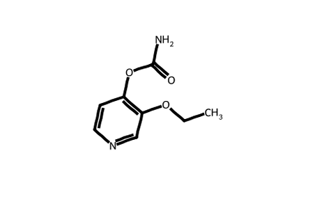 CCOc1cnccc1OC(N)=O